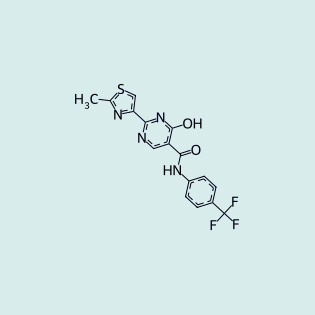 Cc1nc(-c2ncc(C(=O)Nc3ccc(C(F)(F)F)cc3)c(O)n2)cs1